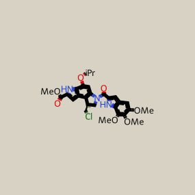 COC(=O)c1cc2c3c(cc(OC(C)C)c2[nH]1)N(C(=O)c1cc2cc(OC)c(OC)c(OC)c2[nH]1)C[C@H]3CCl